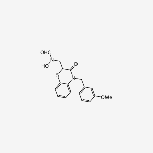 COc1cccc(CN2C(=O)C(CN(O)C=O)Sc3ccccc32)c1